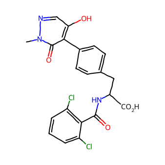 Cn1ncc(O)c(-c2ccc(CC(NC(=O)c3c(Cl)cccc3Cl)C(=O)O)cc2)c1=O